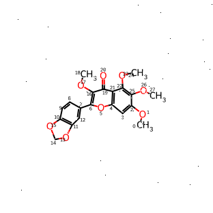 COc1cc2oc(-c3ccc4c(c3)OCO4)c(OC)c(=O)c2c(OC)c1OC